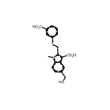 CCOC(=O)c1c(CSc2cccc(C(=O)O)c2)n(C)c2ccc(CO)cc12